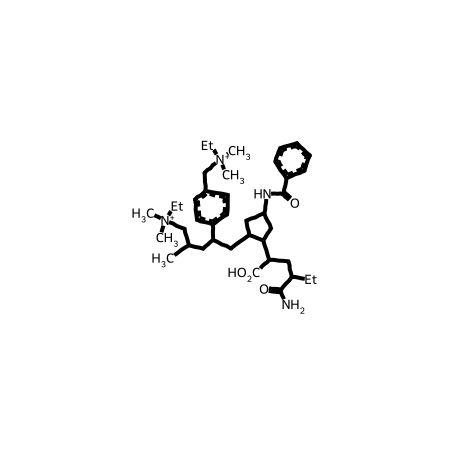 CCC(CC(C(=O)O)C1CC(NC(=O)c2ccccc2)CC1CC(CC(C)C[N+](C)(C)CC)c1ccc(C[N+](C)(C)CC)cc1)C(N)=O